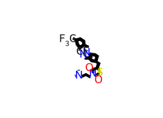 CN(C)CCCN1C(=O)SC(=Cc2ccc3c(cnn3Cc3ccc(C(F)(F)F)cc3C(F)(F)F)c2)C1=O